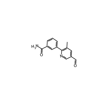 Cc1cc(C=O)cnc1-c1cccc(C(N)=O)c1